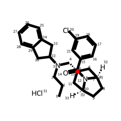 CCCN(C[C@@H]1C[C@H]2CC[C@@H](C1)N2C(=O)c1cccc(Cl)c1)C1Cc2ccccc2C1.Cl